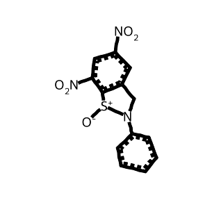 O=[N+]([O-])c1cc2c(c([N+](=O)[O-])c1)[S+]([O-])N(c1ccccc1)C2